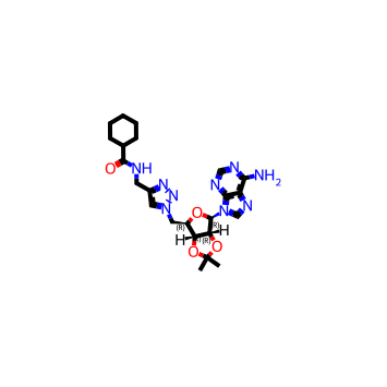 CC1(C)O[C@@H]2[C@H](O1)[C@@H](Cn1cc(CNC(=O)C3CCCCC3)nn1)O[C@H]2n1cnc2c(N)ncnc21